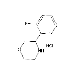 Cl.Fc1ccccc1C1COCCN1